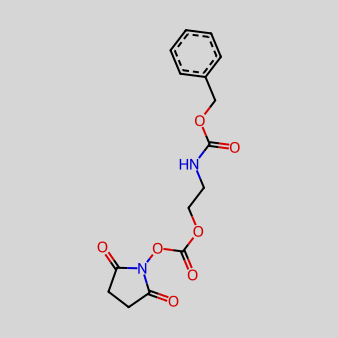 O=C(NCCOC(=O)ON1C(=O)CCC1=O)OCc1ccccc1